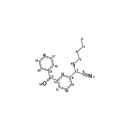 CCCCSC(C#N)c1cccc(C(=O)c2ccccc2)c1